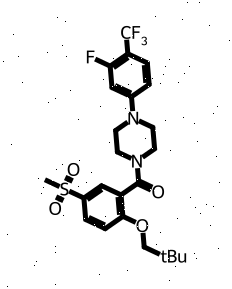 CC(C)(C)COc1ccc(S(C)(=O)=O)cc1C(=O)N1CCN(c2ccc(C(F)(F)F)c(F)c2)CC1